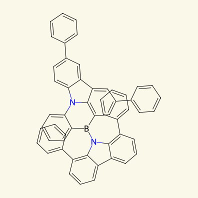 c1ccc(-c2ccc3c(c2)c2cc(-c4ccccc4)cc4c2n3-c2ccccc2B4n2c3c(-c4ccccc4)cccc3c3cccc(-c4ccccc4)c32)cc1